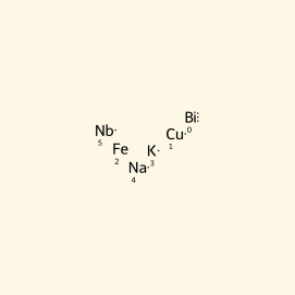 [Bi].[Cu].[Fe].[K].[Na].[Nb]